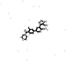 Cc1cc(-c2cnc(N)c(-c3nn[nH]c3C(C)C)c2)ccc1C(=O)N1CCOCC1